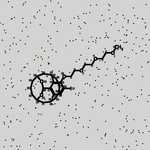 COCCOCCOCCOc1c(I)cc(I)c(C2OC3CCCCCCCCC(CCC3)O2)c1I